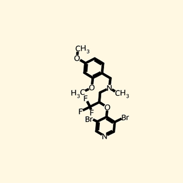 COc1ccc(CN(C)CC(Oc2c(Br)cncc2Br)C(F)(F)F)c(OC)c1